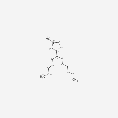 CCCCCCC(CCCCC)C1CCN(O)C1